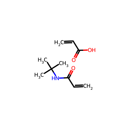 C=CC(=O)NC(C)(C)C.C=CC(=O)O